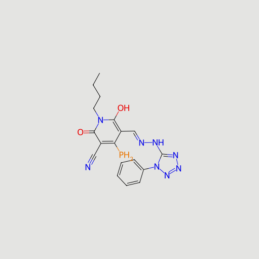 CCCCn1c(O)c(/C=N/Nc2nnnn2-c2ccccc2)c(P)c(C#N)c1=O